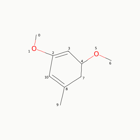 COC1=CC(OC)CC(C)=C1